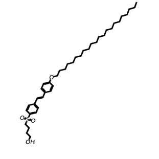 CCCCCCCCCCCCCCCCCCCCCCOc1ccc(C=Cc2ccc(S(=O)(=O)CCCCO)cc2)cc1